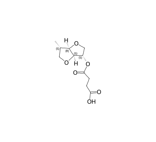 C[C@H]1CO[C@H]2[C@@H]1OC[C@@H]2OC(=O)CCC(=O)O